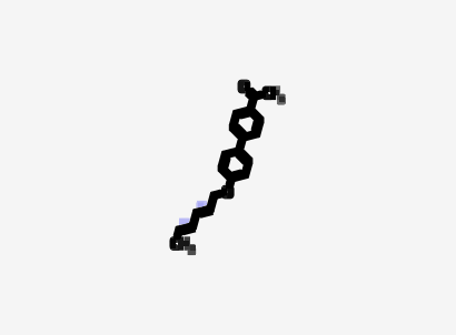 C/C=C/C=C/COc1ccc(-c2ccc(C(=O)C(F)(F)F)cc2)cc1